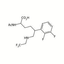 CC(=O)NC(CCC(CNCC(F)(F)F)c1cccc(F)c1F)C(=O)O